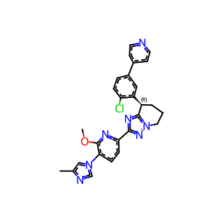 COc1nc(-c2nc3n(n2)CCC[C@@H]3c2cc(-c3ccncc3)ccc2Cl)ccc1-n1cnc(C)c1